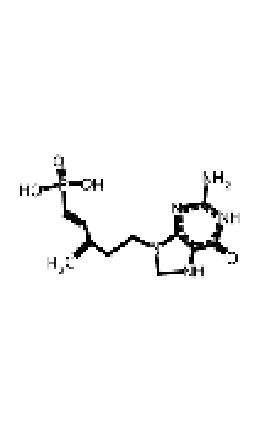 C=C(C=CP(=O)(O)O)CCN1CNc2c1nc(N)[nH]c2=O